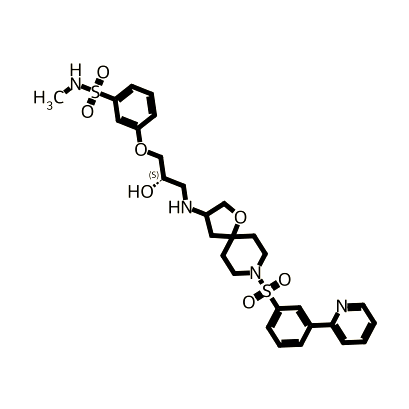 CNS(=O)(=O)c1cccc(OC[C@@H](O)CNC2COC3(CCN(S(=O)(=O)c4cccc(-c5ccccn5)c4)CC3)C2)c1